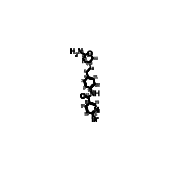 NC1=N[C@@H](CCc2ccc(NC(=O)c3ccc(Br)nc3)cc2)CO1